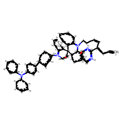 C#C/C=C(\C=C/CCN1c2ccccc2C2(c3ccccc31)c1ccccc1N(c1ccc(-c3ccc(N(c4ccccc4)c4ccccc4)cc3)cc1)c1ccccc12)c1ncccn1